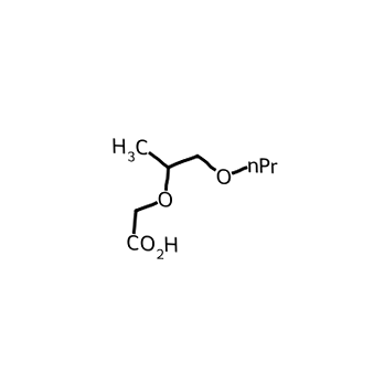 CCCOCC(C)OCC(=O)O